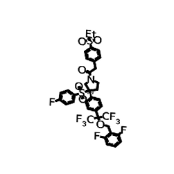 CCS(=O)(=O)c1ccc(CC(=O)N2CC[C@](c3ccc(C(OCc4c(F)cccc4F)(C(F)(F)F)C(F)(F)F)cc3)(S(=O)(=O)c3ccc(F)cc3)C2)cc1